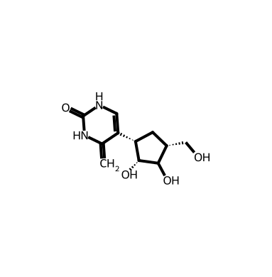 C=C1NC(=O)NC=C1[C@@H]1C[C@H](CO)C(O)[C@@H]1O